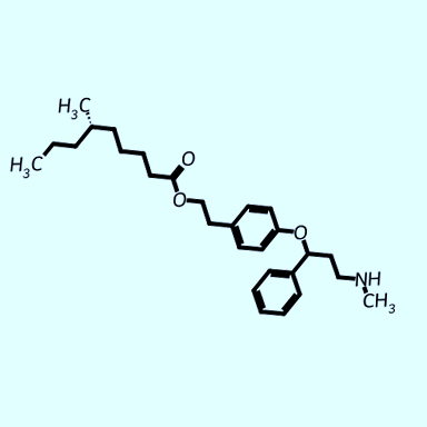 CCC[C@H](C)CCCCC(=O)OCCc1ccc(OC(CCNC)c2ccccc2)cc1